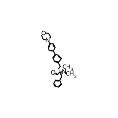 CN(C)[C@@](C=O)(CCc1ccc(-c2ccc(N3CCOCC3)cc2)cc1)Cc1ccccc1